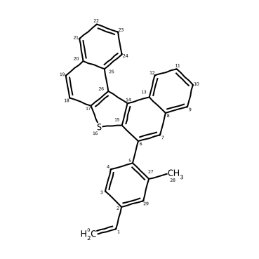 C=Cc1ccc(-c2cc3ccccc3c3c2sc2ccc4ccccc4c23)c(C)c1